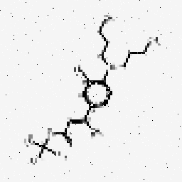 CCCCN(CCCC)c1ccc(/C(C)=C/C(=O)OC(C)(C)C)cc1N